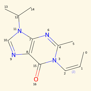 C/C=C\n1c(C)nc2c(ncn2C(C)C)c1=O